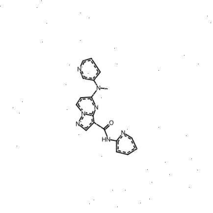 CN(c1cccnc1)c1ccn2ncc(C(=O)Nc3ccccn3)c2n1